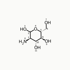 N[C@H]1[C](O)O[C@H](CO)[C@@H](O)[C@@H]1O